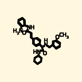 COc1cccc(CNC(C(=O)NC2CCCCC2)c2ccc(C=CC(=O)Nc3ccccc3N)cc2)c1